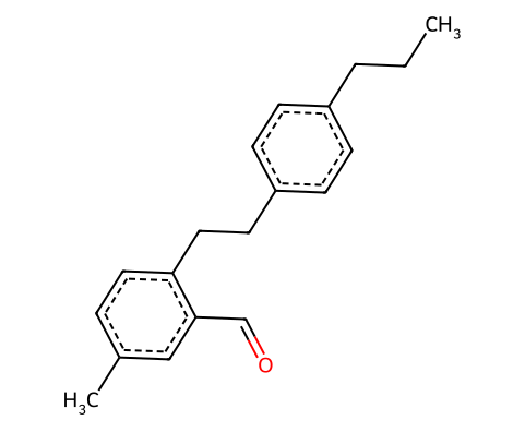 CCCc1ccc(CCc2ccc(C)cc2C=O)cc1